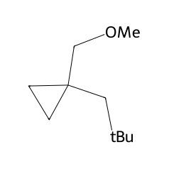 COCC1(CC(C)(C)C)CC1